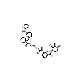 O=C1CCC(N2Cc3c(NC(=O)COCCNC(=O)C4(Cc5cccc(Nc6nccs6)n5)CCCCC4)cccc3C2=O)C(=O)N1